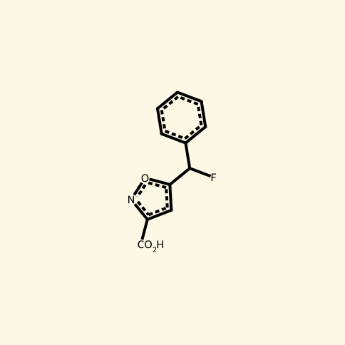 O=C(O)c1cc(C(F)c2ccccc2)on1